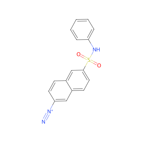 N#[N+]c1ccc2cc(S(=O)(=O)Nc3ccccc3)ccc2c1